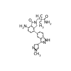 Cn1cc(-c2n[nH]c3ccc(-c4ccc(N)c5c4CN(CC(C)(C)C(N)=O)C5=O)cc23)cn1